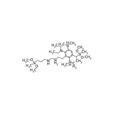 CCN(CC)c1c([SiH](C)C)cc(C(C)[Si](C)(OC)OC)c([SiH](C)C)c1CC[SiH2]CNCCC[Si](C)(OC)OC